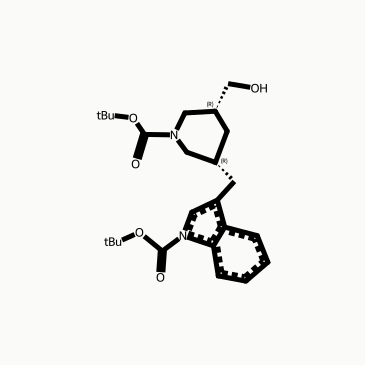 CC(C)(C)OC(=O)N1C[C@H](CO)C[C@H](Cc2cn(C(=O)OC(C)(C)C)c3ccccc23)C1